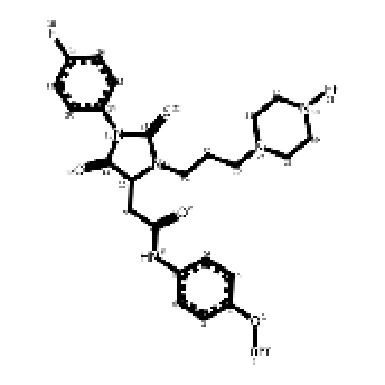 CCCOc1ccc(NC(=O)CC2C(=O)N(c3ccc(F)cc3)C(=S)N2CCCN2CCN(CC)CC2)cc1